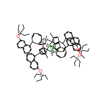 CC[Si](CC)(CC)Oc1ccc2cccc(C3C=CC=CC4=C3C=C(C)[C]43[SiH](C)[C]4(C(C)=CC5=C4C=CC=CC5c4cccc5ccc(O[Si](CC)(CC)CC)cc45)[Zr]34([Cl])([Cl])[C]3(C(C)=CC5=C3C=CC=CC5c3cccc5ccc(O[Si](CC)(CC)CC)cc35)[SiH](C)[C]43C(C)=CC4=C3C=CC=CC4c3cccc4ccc(O[Si](CC)(CC)CC)cc34)c2c1